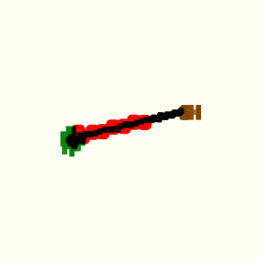 O=C(OCCOCCOCCOCCOCCOCCOCCCCCCCCCCCS)c1c(F)c(F)c(F)c(F)c1F